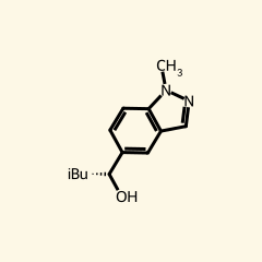 CC[C@@H](C)C(O)c1ccc2c(cnn2C)c1